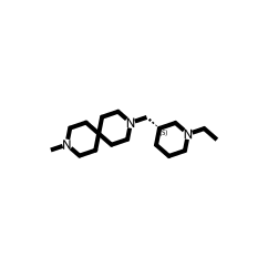 CCN1CCC[C@H](CN2CCC3(CCN(C)CC3)CC2)C1